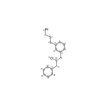 CC(C)CSSc1cccc(C[S+]([O-])Cc2ccccc2)c1